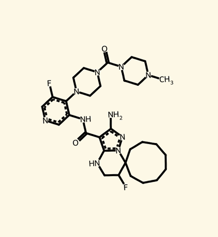 CN1CCN(C(=O)N2CCN(c3c(F)cncc3NC(=O)c3c(N)nn4c3NCC(F)C43CCCCCCCC3)CC2)CC1